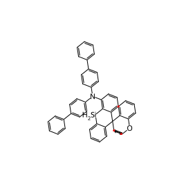 c1ccc(-c2ccc(N(c3ccc(-c4ccccc4)cc3)c3cccc4c3[SiH2]c3ccccc3C43c4ccccc4Oc4ccccc43)cc2)cc1